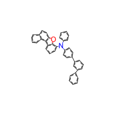 c1ccc(-c2cccc(-c3ccc(N(c4ccccc4)c4cccc5c4oc4ccc6ccccc6c45)cc3)c2)cc1